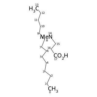 CCCCCCCCCCCCCC.CNCCC(=O)O